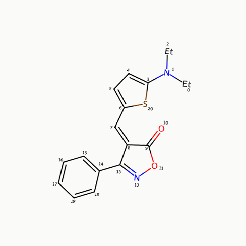 CCN(CC)c1ccc(/C=C2\C(=O)ON=C2c2ccccc2)s1